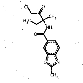 CCC(C)(NC(=O)c1ccc2nc(C)oc2c1)C(=O)CCl